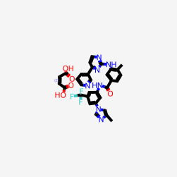 Cc1cn(-c2cc(NC(=O)c3ccc(C)c(Nc4nccc(-c5cccnc5)n4)c3)cc(C(F)(F)F)c2)cn1.O=C(O)/C=C\C(=O)O